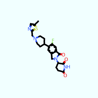 Cc1cnc(CN2CCC(c3cc4c(cc3F)C(=O)N(C3CCC(=O)NC3=O)C4)CC2)s1